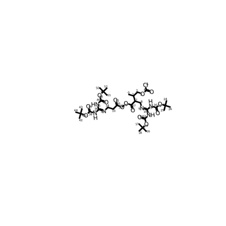 CC(COC(=O)Cl)C(CN=C(NC(=O)OC(C)(C)C)NC(=O)OC(C)(C)C)C(=O)OOC(=O)CCN=C(NC(=O)OC(C)(C)C)NC(=O)OC(C)(C)C